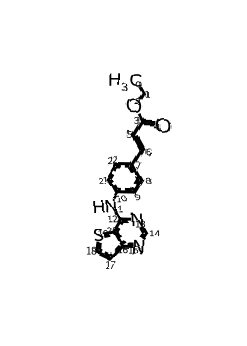 CCOC(=O)/C=C/c1ccc(Nc2ncnc3ccsc23)cc1